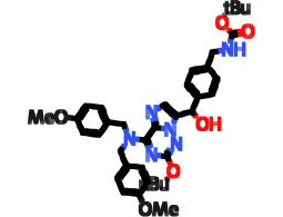 CCCCOc1nc(N(Cc2ccc(OC)cc2)Cc2ccc(OC)cc2)c2ncc(C(O)c3ccc(CNC(=O)OC(C)(C)C)cc3)n2n1